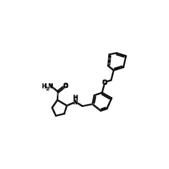 NC(=O)C1CCCC1NCc1cccc(OCc2ccccc2)c1